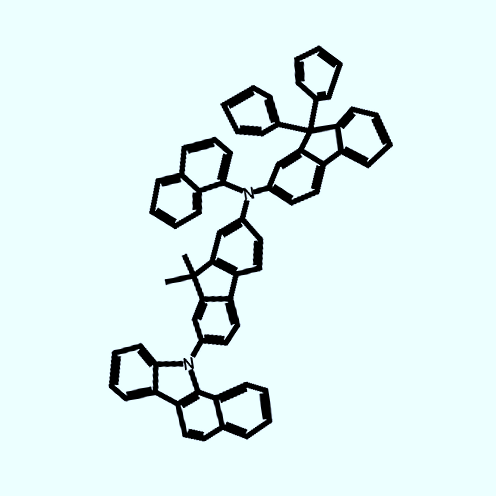 CC1(C)c2cc(N(c3ccc4c(c3)C(c3ccccc3)(c3ccccc3)c3ccccc3-4)c3cccc4ccccc34)ccc2-c2ccc(-n3c4ccccc4c4ccc5ccccc5c43)cc21